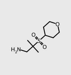 CC(C)(CN)S(=O)(=O)C1CCOCC1